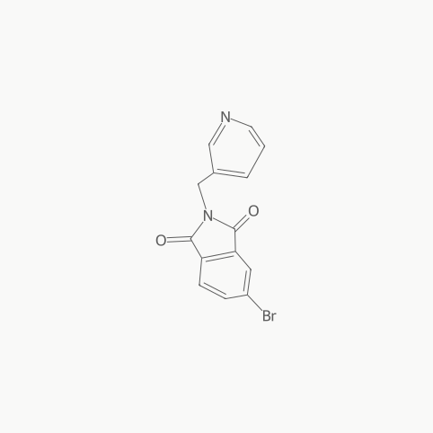 O=C1c2ccc(Br)cc2C(=O)N1Cc1cccnc1